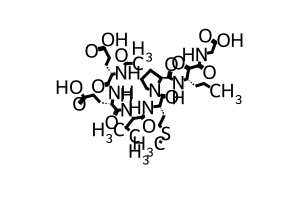 CCC[C@H](NC(=O)[C@@H]1CCCN1C(=O)[C@H](CCSC)NC(=O)[C@@H](NC(=O)[C@H](CCC(=O)O)NC(=O)[C@H](CCC(=O)O)NC(C)=O)C(C)C)C(=O)C(=O)NCC(=O)O